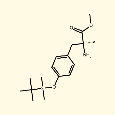 COC(=O)[C@@](C)(N)Cc1ccc(O[Si](C)(C)C(C)(C)C)cc1